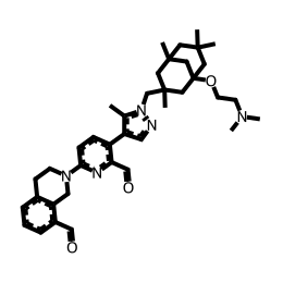 Cc1c(-c2ccc(N3CCc4cccc(C=O)c4C3)nc2C=O)cnn1CC1(C)CC2(C)CC(C)(C)CC(OCCN(C)C)(C1)C2